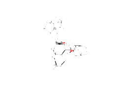 CC(C)(C)OC(=O)N1C2CCC1CN(c1nc(OC[C@@]34CCCN3C[C@H](F)C4)nc3nc(Cl)ccc13)C2